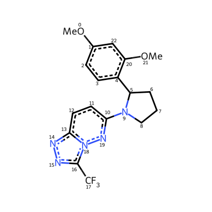 COc1ccc(C2CCCN2c2ccc3nnc(C(F)(F)F)n3n2)c(OC)c1